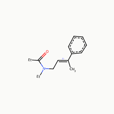 CCC(=O)N(CC)C/C=C(\C)c1ccccc1